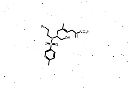 CC(=CCNC(=O)O)C[C@@H](CO)N(CCC(C)C)S(=O)(=O)c1ccc(C)cc1